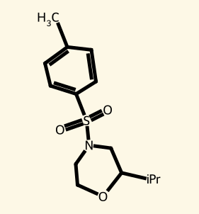 Cc1ccc(S(=O)(=O)N2CCOC(C(C)C)C2)cc1